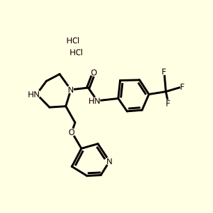 Cl.Cl.O=C(Nc1ccc(C(F)(F)F)cc1)N1CCNCC1COc1cccnc1